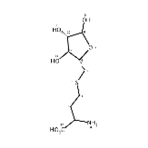 NC(CCSC[C@H]1OC(O)[C@@H](O)C1O)C(=O)O